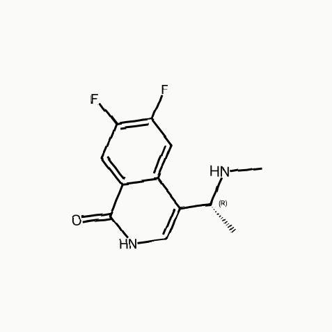 CN[C@H](C)c1c[nH]c(=O)c2cc(F)c(F)cc12